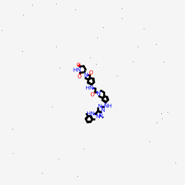 Cc1cccc(C)c1Nc1nn(C)c2nc(Nc3ccc4c(c3)CN(C(=O)CNc3ccc5c(c3)CN(C3CCC(=O)NC3=O)C5=O)CC4)ncc12